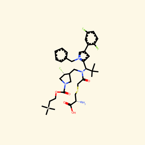 CC(C)(C)[C@H](c1cc(-c2cc(F)ccc2F)cn1Cc1ccccc1)N(CC1CN(C(=O)OCC[Si](C)(C)C)C[C@@H]1F)C(=O)CSC[C@H](N)C(=O)O